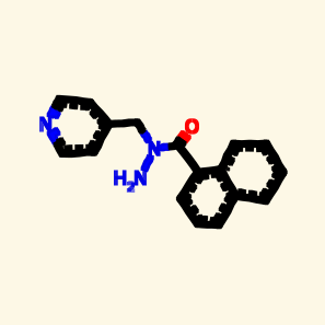 NN(Cc1ccncc1)C(=O)c1cccc2ccccc12